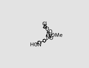 COC[C@H]1C(=O)N(Cc2ccc(-c3ccc(O)nc3)cc2)CCN1C(=O)COc1ccc(Cl)s1